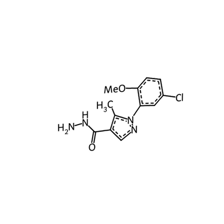 COc1ccc(Cl)cc1-n1ncc(C(=O)NN)c1C